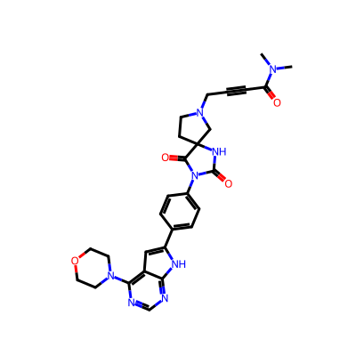 CN(C)C(=O)C#CCN1CCC2(C1)NC(=O)N(c1ccc(-c3cc4c(N5CCOCC5)ncnc4[nH]3)cc1)C2=O